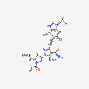 C=CC(=O)N1C[C@@H](n2nc(C#Cc3c(Cl)cc4c(ncn4C4CC4)c3F)c(C(N)=O)c2NC)C[C@@H]1COC